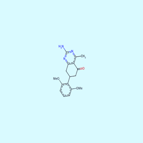 COc1cccc(OC)c1C1CC(=O)c2c(C)nc(N)nc2C1